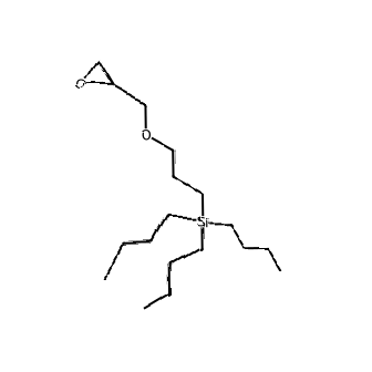 CCCC[Si](CCCC)(CCCC)CCCOCC1CO1